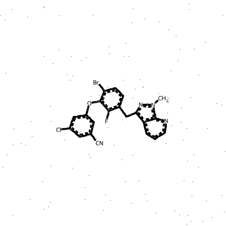 [CH2]n1nc(Cc2ccc(Br)c(Oc3cc(Cl)cc(C#N)c3)c2F)c2cccnc21